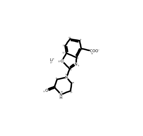 O=C1CN(c2nc3c(C(=O)[O-])cccc3o2)CCN1.[Li+]